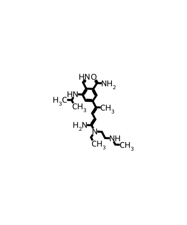 CCNCCN(CC)/C(N)=C/C=C(\C)c1cc(NC(C)C)c(C=N)c(C(N)=O)c1